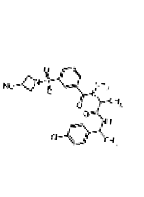 CC(NC(=O)C(C)N(C)C(=O)c1cccc(S(=O)(=O)N2CC(C#N)C2)c1)c1ccc(Cl)cc1